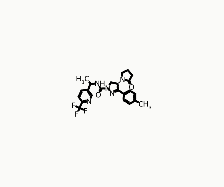 Cc1ccc(C2=NN(C(=O)NC(C)c3ccc(C(F)(F)F)nc3)C[C@@H]2N2CCCC2=O)cc1